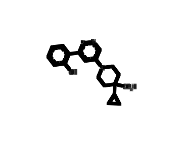 O=C(O)C1(C2CC2)CCN(c2cnnc(-c3ccccc3O)c2)CC1